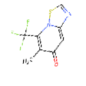 Cc1c(C(F)(F)F)n2scnc2cc1=O